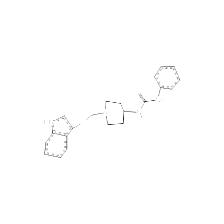 CN(C(=S)Nc1ccccc1)C1CCN(CCc2c[nH]c3ccccc23)CC1